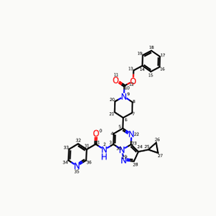 O=C(Nc1cc(C2CCN(C(=O)OCc3ccccc3)CC2)nc2c(C3CC3)cnn12)c1cccnc1